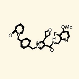 COc1ccnc(CNC(=O)c2cn(Cc3ccc(Cn4ccccc4=O)cc3)nc2C2COC2)c1F